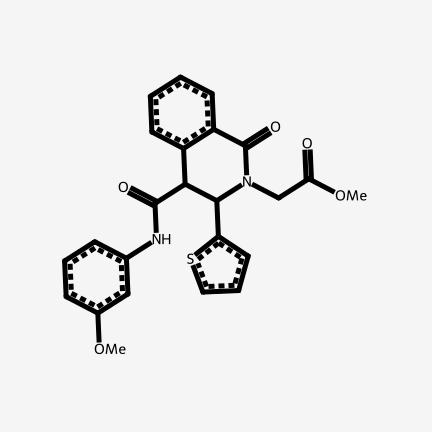 COC(=O)CN1C(=O)c2ccccc2C(C(=O)Nc2cccc(OC)c2)C1c1cccs1